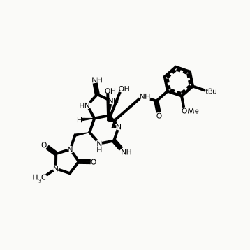 COc1c(C(=O)NC2CN3C(=N)N[C@@H](CN4C(=O)CN(C)C4=O)[C@@H]4NC(=N)N[C@@]43C2(O)O)cccc1C(C)(C)C